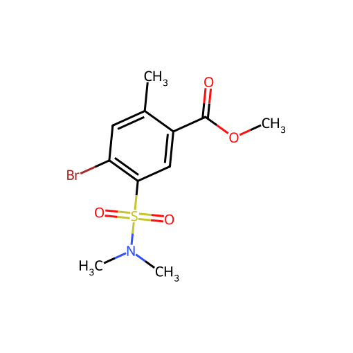 COC(=O)c1cc(S(=O)(=O)N(C)C)c(Br)cc1C